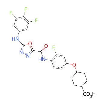 O=C(Nc1ccc(OC2CCC(C(=O)O)CC2)cc1F)c1nnc(Nc2cc(F)c(F)c(F)c2)o1